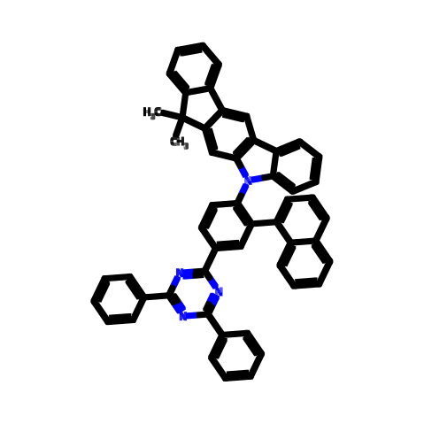 CC1(C)c2ccccc2-c2cc3c4ccccc4n(-c4ccc(-c5nc(-c6ccccc6)nc(-c6ccccc6)n5)cc4-c4cccc5ccccc45)c3cc21